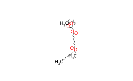 CCCCCCCCC(CC)OC(=O)CCCCCCC(=O)OCC1COC(C)(C)OC1